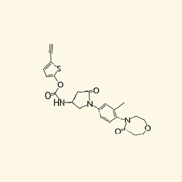 C#Cc1ccc(OC(=O)NC2CC(=O)N(c3ccc(N4CCOCCC4=O)c(C)c3)C2)s1